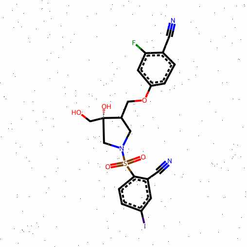 N#Cc1ccc(OCC2CN(S(=O)(=O)c3ccc(I)cc3C#N)C[C@@]2(O)CO)cc1F